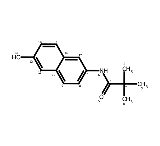 CC(C)(C)C(=O)Nc1ccc2cc(O)ccc2c1